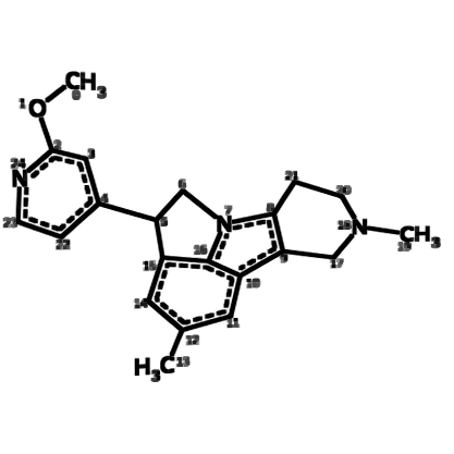 COc1cc(C2Cn3c4c(c5cc(C)cc2c53)CN(C)CC4)ccn1